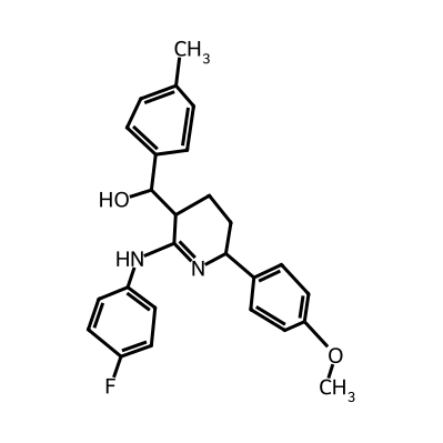 COc1ccc(C2CCC(C(O)c3ccc(C)cc3)C(Nc3ccc(F)cc3)=N2)cc1